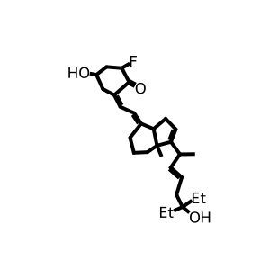 CCC(O)(CC)C/C=C/C(C)C1=CCC2/C(=C/C=C3/CC(O)CC(F)C3=O)CCCC12C